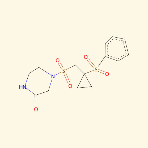 O=C1CN(S(=O)(=O)CC2(S(=O)(=O)c3ccccc3)CC2)CCN1